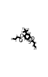 CCCC(=O)Oc1cc2c(cc1C(C)(C)C)OC(CCC)S2